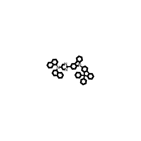 c1ccc(C2(c3ccccc3)c3ccccc3-c3ccc(-n4c5ccccc5c5cc(-c6ncc(N(c7cccc8ccccc78)c7cccc8ccccc78)cn6)ccc54)cc32)cc1